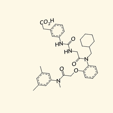 Cc1cc(C)cc(N(C)C(=O)COc2ccccc2N(CC2CCCCC2)C(=O)CNC(=O)Nc2cccc(CC(=O)O)c2)c1